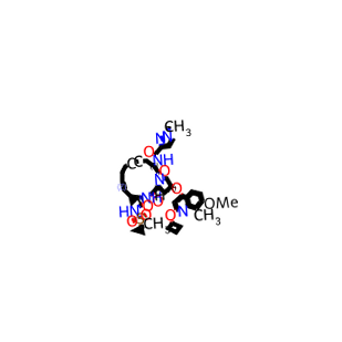 COc1ccc2c(O[C@@H]3C[C@H]4C(=O)N[C@]5(C(=O)NS(=O)(=O)C6(C)CC6)CC5/C=C\CCCCC[C@H](NC(=O)c5ccn(C)n5)C(=O)N4C3)cc(OC3CCC3)nc2c1C